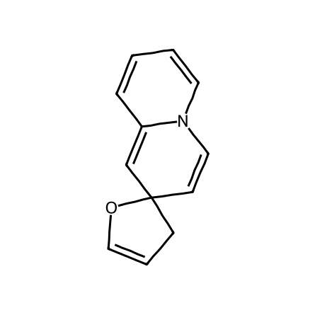 C1=CC2=CC3(C=CN2C=C1)CC=CO3